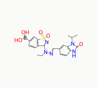 CCN(/N=C/c1ccc2[nH]c(=O)n(C(C)C)c2c1)C1=NS(=O)(=O)c2cc(B(O)O)ccc21